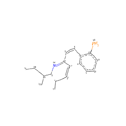 CC\C=C/C(/C=C\c1ccccc1P)=N\CC(C)CC